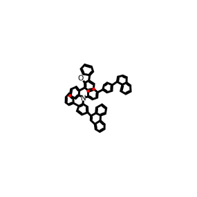 c1ccc(-c2ccc(-c3cc4ccccc4c4ccccc34)cc2N(c2ccc(-c3ccc(-c4cccc5ccccc45)cc3)cc2)c2ccccc2-c2cccc3c2oc2ccccc23)cc1